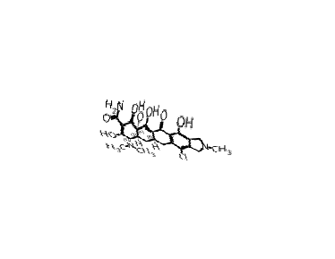 CN1Cc2c(O)c3c(c(Cl)c2C1)C[C@H]1C[C@H]2[C@H](N(C)C)C(O)=C(C(N)=O)C(=O)[C@@]2(O)C(O)=C1C3=O